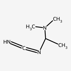 CC(N=C=N)N(C)C